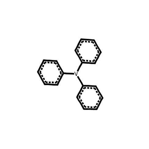 c1cc[c]([V]([c]2ccccc2)[c]2ccccc2)cc1